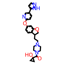 O=C(N1CCN(CCC2COc3cc(Oc4ccc(-c5ccn[nH]5)cn4)ccc32)CC1)C1(O)CC1